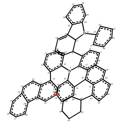 C1=CC(c2ccccc2N(c2ccccc2-c2cccc3c2ccc2ccccc23)c2ccccc2-c2cccc3cccc(C4CCCCC4)c23)C2C(=C1)c1ccccc1N2c1ccccc1